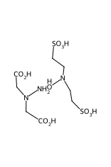 NN(CC(=O)O)CC(=O)O.O=S(=O)(O)CCN(O)CCS(=O)(=O)O